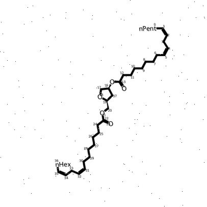 CCCCC/C=C\C/C=C\CCCCCCCC(=O)O[C@@H]1CO[C@H](COC(=O)CCCCCCC/C=C\C/C=C\CCCCCC)C1